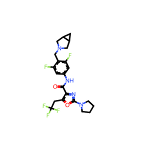 O=C(Nc1cc(F)c(CN2CC3CC3C2)c(F)c1)c1nc(N2CCCC2)oc1CC(F)(F)F